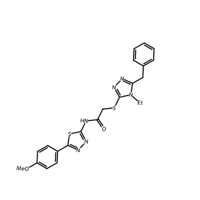 CCn1c(Cc2ccccc2)nnc1SCC(=O)Nc1nnc(-c2ccc(OC)cc2)s1